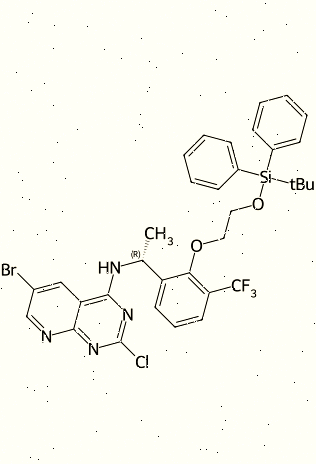 C[C@@H](Nc1nc(Cl)nc2ncc(Br)cc12)c1cccc(C(F)(F)F)c1OCCO[Si](c1ccccc1)(c1ccccc1)C(C)(C)C